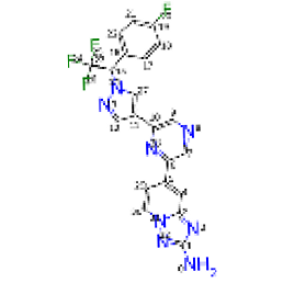 Nc1nc2cc(-c3cncc(-c4cnn([C@H](c5ccc(F)cc5)C(F)(F)F)c4)n3)ccn2n1